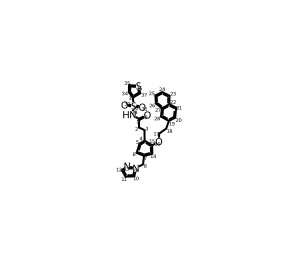 O=C(CCc1ccc(Cn2cccn2)cc1OCCc1ccc2ccccc2c1)NS(=O)(=O)c1ccsc1